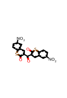 O=C(c1cc2cc([N+](=O)[O-])ccc2sc1=O)c1cc2cc([N+](=O)[O-])ccc2sc1=O